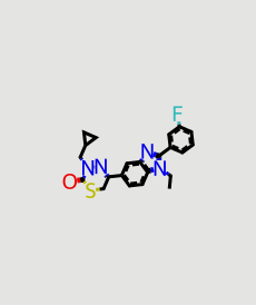 CCn1c(-c2cccc(F)c2)nc2cc(C3=NN(CC4CC4)C(=O)SC3)ccc21